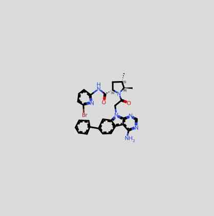 C[C@@H]1[C@@H](C)C[C@@H](C(=O)Nc2cccc(Br)n2)N1C(=O)Cn1c2cc(-c3ccccc3)ccc2c2c(N)ncnc21